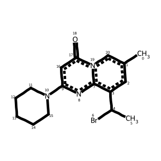 Cc1cc(C(C)Br)c2nc(N3CCCCC3)cc(=O)n2c1